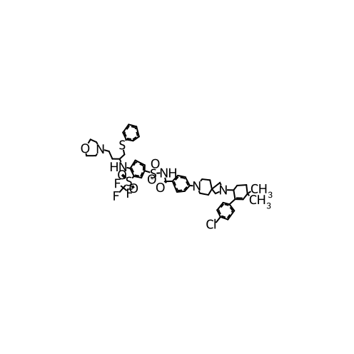 CC1(C)C=C(c2ccc(Cl)cc2)C(N2CC3(CCN(c4ccc(C(=O)NS(=O)(=O)c5ccc(NC(CCN6CCOCC6)CSc6ccccc6)c(S(=O)(=O)C(F)(F)F)c5)cc4)CC3)C2)CC1